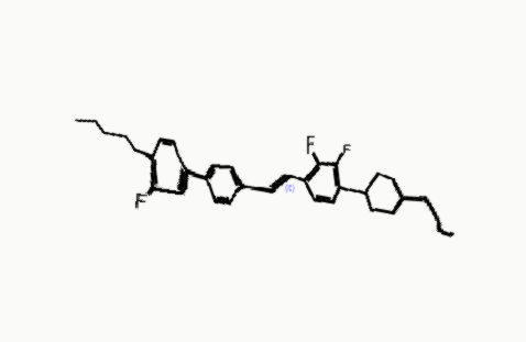 CCCCCc1ccc(-c2ccc(/C=C/c3ccc(C4CCC(CCC)CC4)c(F)c3F)cc2)cc1F